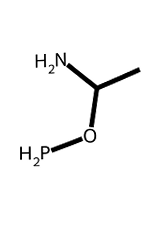 CC(N)OP